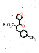 CCOC(=O)C(Cc1ccc(C(F)(F)F)cc1)C(=O)c1ccoc1